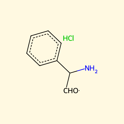 Cl.NC([C]=O)c1ccccc1